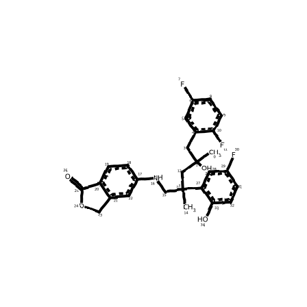 CC(O)(Cc1cc(F)ccc1F)CC(C)(CNc1ccc2c(c1)COC2=O)c1cc(F)ccc1O